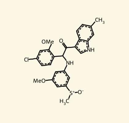 COc1cc(NC(C(=O)c2c[nH]c3cc(C)ccc23)c2ccc(Cl)cc2OC)cc([S+](C)[O-])c1